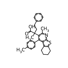 Cc1ccc(-c2c(C(C)(CCc3ccccc3)C(=O)O)c(C)nc3sc4c(c23)CCCC4)cc1